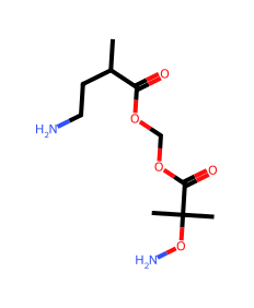 CC(CCN)C(=O)OCOC(=O)C(C)(C)ON